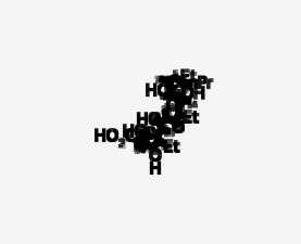 CCCC(O)C1(CC)CC(C)C(O)(C2(C)CC(C)C(C(CC)C(=O)C(C)C(O)C(C)C3OC(O)(C(C)C(=O)O)C(C)C(O)C3CC)O2)O1